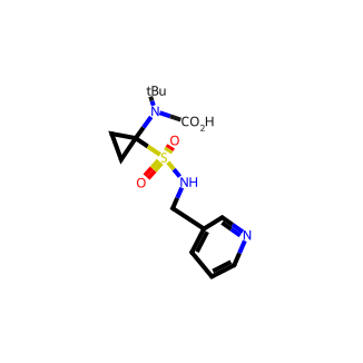 CC(C)(C)N(C(=O)O)C1(S(=O)(=O)NCc2cccnc2)CC1